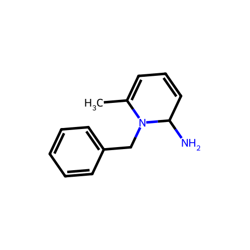 CC1=CC=CC(N)N1Cc1ccccc1